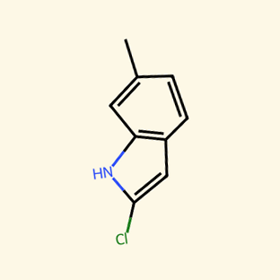 Cc1ccc2cc(Cl)[nH]c2c1